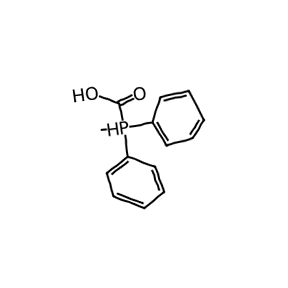 C[PH](C(=O)O)(c1ccccc1)c1ccccc1